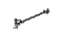 CN1C=CN(COc2ccc(CO)cc2NC(=O)CNC(=O)CCOCCOCCOCCOCCOCCOCCOCCOCCNC(=O)CCN2C(=O)C=CC2=O)C1[N+](=O)[O-]